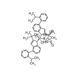 CC(C)c1ccccc1-c1cccc2c1C=C(C(C)(C)C)[CH]2[Zr]([Cl])([Cl])([B](NC=O)NC=O)[CH]1C(C(C)(C)C)=Cc2c(-c3ccccc3C(C)C)cccc21